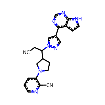 N#CCC(C1CCN(c2cccnc2C#N)C1)n1cc(-c2ncnc3[nH]ccc23)cn1